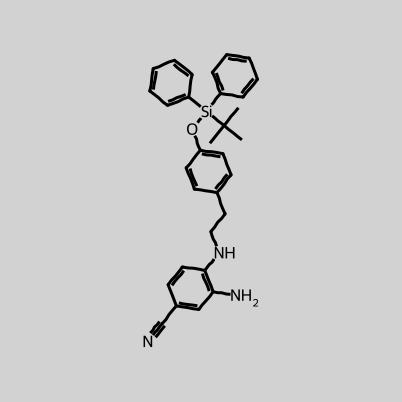 CC(C)(C)[Si](Oc1ccc(CCNc2ccc(C#N)cc2N)cc1)(c1ccccc1)c1ccccc1